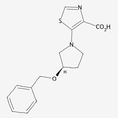 O=C(O)c1ncsc1N1CC[C@@H](OCc2ccccc2)C1